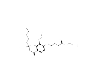 CCCc1c(OCCCC(=O)OCC)ccc2c1OC(C)(CCCCI)CC2=O